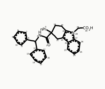 CCCC1(C(=O)NC(c2ccccc2)c2ccccc2)CCc2c(c3ccccc3n2CC(=O)O)C1